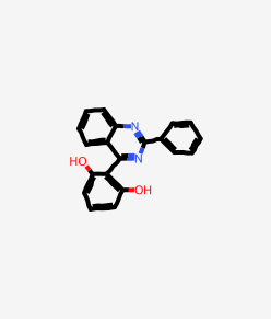 Oc1cccc(O)c1-c1nc(-c2ccccc2)nc2ccccc12